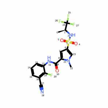 C[C@H](NS(=O)(=O)c1cc(C(=O)Nc2cccc(C#N)c2F)n(C)c1)C(F)(F)F